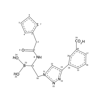 O=C(Cc1cccs1)NC(Cn1cc(-c2cccc(C(=O)O)c2)nn1)B(O)O